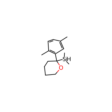 Cc1ccc(C)c(C2([SiH](C)C)CCCCO2)c1